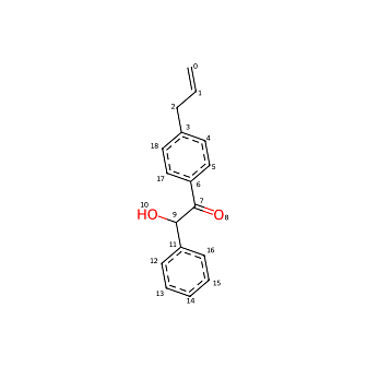 C=CCc1ccc(C(=O)C(O)c2ccccc2)cc1